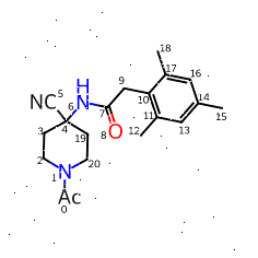 CC(=O)N1CCC(C#N)(NC(=O)Cc2c(C)cc(C)cc2C)CC1